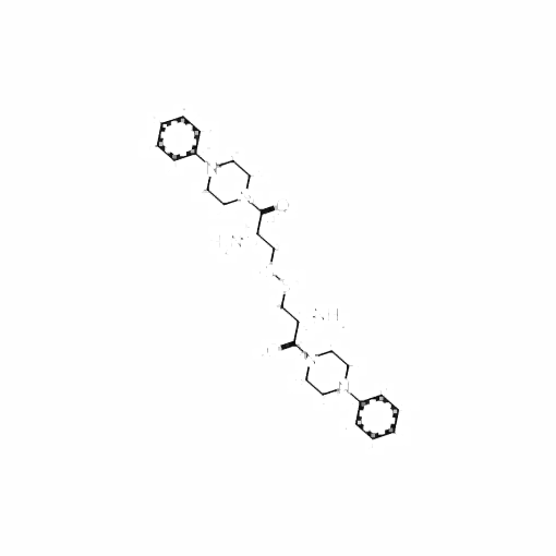 N[C@@H](CSSC[C@H](N)C(=O)N1CCN(c2ccccc2)CC1)C(=O)N1CCN(c2ccccc2)CC1